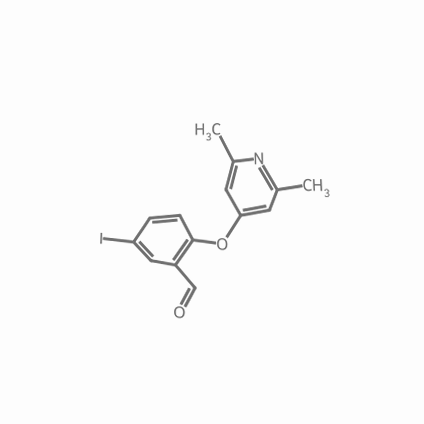 Cc1cc(Oc2ccc(I)cc2C=O)cc(C)n1